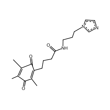 CC1=C(C)C(=O)C(CCCC(=O)NCCCn2ccnc2)=C(C)C1=O